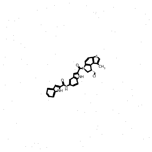 Cc1csc2[c]cc3c(c12)[C@H](CCl)CN3C(=O)c1cc2cc(NC(=O)c3cc4ccccc4[nH]3)ccc2[nH]1